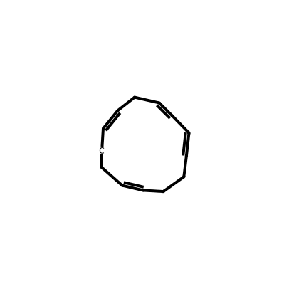 [C]1=CC=CCC=CCCC=CCC1